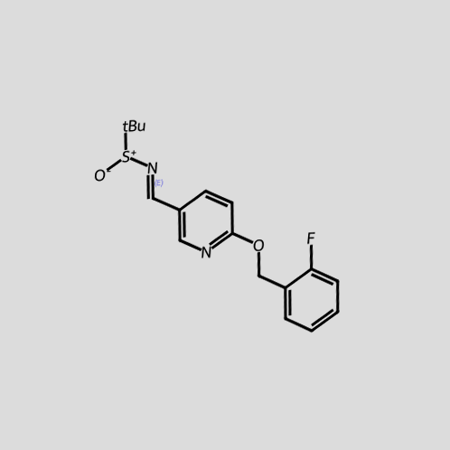 CC(C)(C)[S+]([O-])/N=C/c1ccc(OCc2ccccc2F)nc1